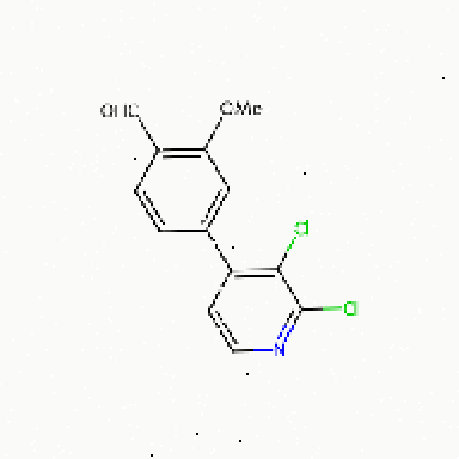 COc1cc(-c2ccnc(Cl)c2Cl)ccc1C=O